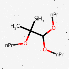 CCCO[C](OCCC)C(C)([SiH3])OCCC